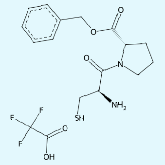 N[C@@H](CS)C(=O)N1CCC[C@H]1C(=O)OCc1ccccc1.O=C(O)C(F)(F)F